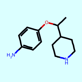 CC(Oc1ccc(N)cc1)C1CCNCC1